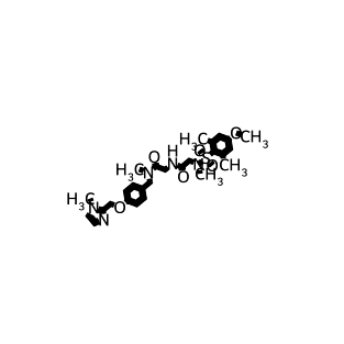 COc1cc(C)c(S(=O)(=O)N(C)CC(=O)NCC(=O)N(C)Cc2ccc(OCc3nccn3C)cc2)c(C)c1